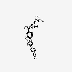 CCN(CC)CCCNC(=O)c1ccc2c(c1)sc1nc(N3CCNCC3)cn12